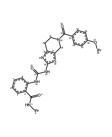 CC(C)NC(=O)c1ccccc1NC(=O)Nc1nc2c(s1)CN(C(=O)c1ccc(OC(C)C)cc1)CC2